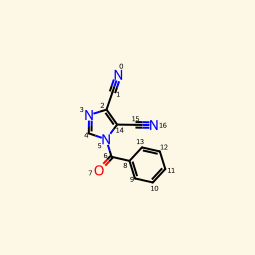 N#Cc1ncn(C(=O)c2ccccc2)c1C#N